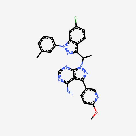 COc1ccc(-c2nn(C(C)c3nn(-c4cccc(C)c4)c4cc(Cl)ccc34)c3ncnc(N)c23)cn1